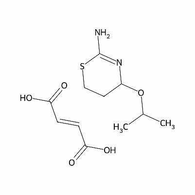 CC(C)OC1CCSC(N)=N1.O=C(O)C=CC(=O)O